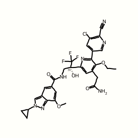 CCOc1c(CC(N)=O)cc([C@@](O)(CNC(=O)c2cc(OC)c3nn(C4CC4)cc3c2)C(F)(F)F)nc1-c1cnc(C#N)c(Cl)c1